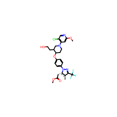 COC(=O)C[C@H]1[C@H](C)C(C(F)(F)F)=NN1c1ccc(OC2CCN(c3cc(OC)ncc3Cl)CC2CCO)cc1